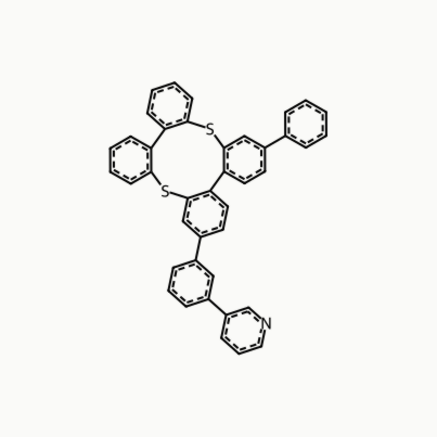 c1ccc(-c2ccc3c(c2)Sc2ccccc2-c2ccccc2Sc2cc(-c4cccc(-c5cccnc5)c4)ccc2-3)cc1